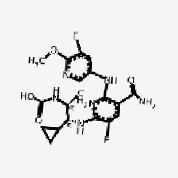 COc1ncc(Nc2nc(N[C@H](C3CC3)[C@H](C)NC(=O)O)c(F)cc2C(N)=O)cc1F